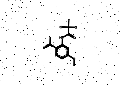 COc1ccc(C(C)=O)c(NC(=O)C(Cl)(Cl)Cl)c1